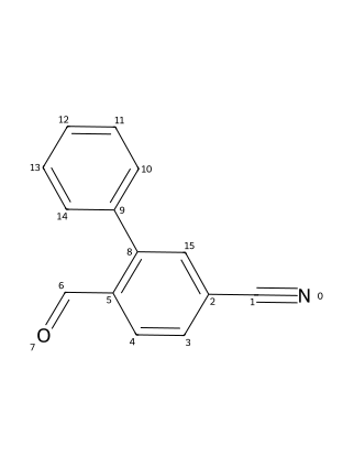 N#Cc1ccc(C=O)c(-c2ccccc2)c1